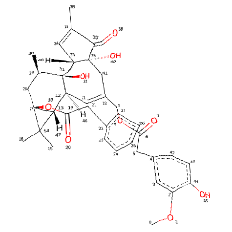 COc1cc(CC(=O)OCC2=C[C@H]3[C@@H]4C(C)(C)[C@]4(OC(=O)Cc4ccccc4)C[C@@H](C)[C@]3(O)[C@@H]3C=C(C)C(=O)[C@@]3(O)C2)ccc1O